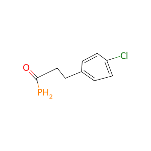 O=C(P)CCc1ccc(Cl)cc1